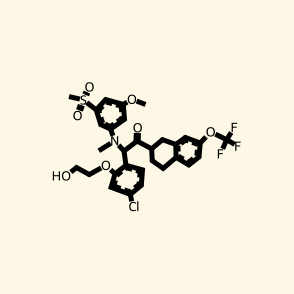 COc1cc(N(C)C(C(=O)C2CCc3ccc(OC(F)(F)F)cc3C2)c2ccc(Cl)cc2OCCO)cc(S(C)(=O)=O)c1